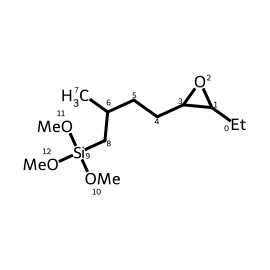 CCC1OC1CCC(C)C[Si](OC)(OC)OC